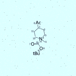 CC(=O)C1CC[N+](C)(C(=O)OC(C)(C)C)CC1